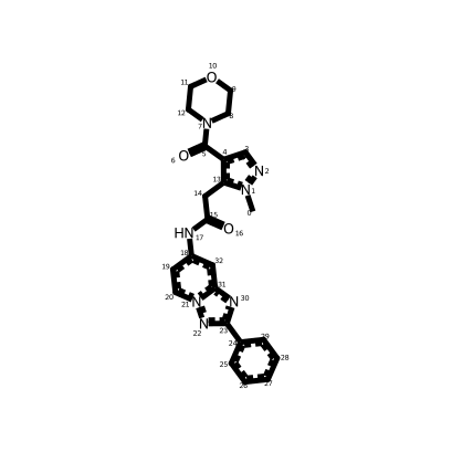 Cn1ncc(C(=O)N2CCOCC2)c1CC(=O)Nc1ccn2nc(-c3ccccc3)nc2c1